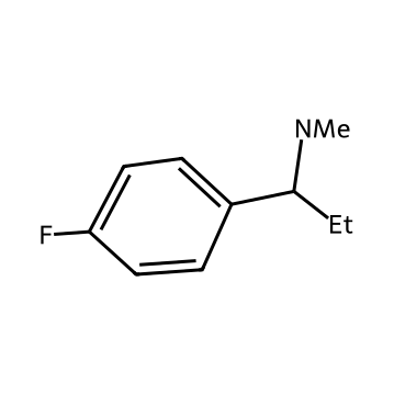 CCC(NC)c1ccc(F)cc1